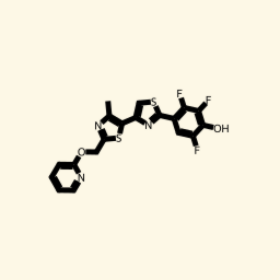 Cc1nc(COc2ccccn2)sc1-c1csc(-c2cc(F)c(O)c(F)c2F)n1